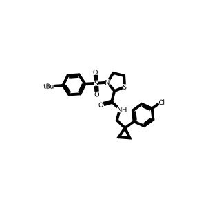 CC(C)(C)c1ccc(S(=O)(=O)N2CCSC2C(=O)NCC2(c3ccc(Cl)cc3)CC2)cc1